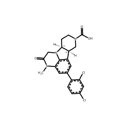 CN1C(=O)CN2c3c(cc(-c4ccc(Cl)cc4Cl)cc31)[C@@H]1CN(C(=O)O)CC[C@@H]12